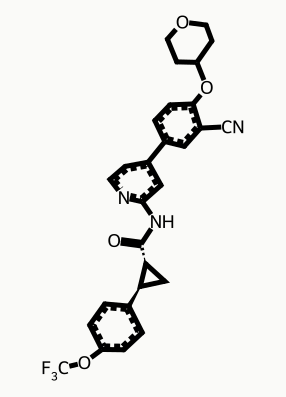 N#Cc1cc(-c2ccnc(NC(=O)[C@@H]3C[C@H]3c3ccc(OC(F)(F)F)cc3)c2)ccc1OC1CCOCC1